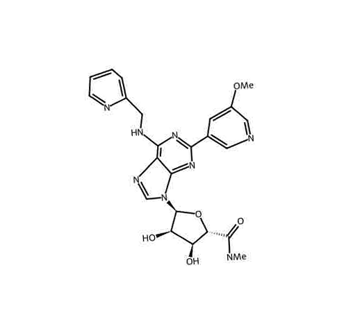 CNC(=O)[C@H]1O[C@H](n2cnc3c(NCc4ccccn4)nc(-c4cncc(OC)c4)nc32)[C@H](O)[C@@H]1O